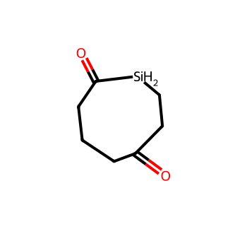 O=C1CCCC(=O)[SiH2]CC1